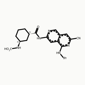 CC(C)Nc1nc(C#N)cc2cnc(NC(=O)[C@H]3CCC[C@H](NC(=O)O)C3)cc12